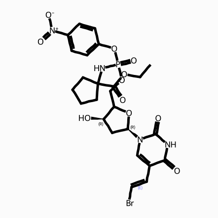 CCOC(=O)C1(NP(=O)(OCC2O[C@@H](n3cc(/C=C/Br)c(=O)[nH]c3=O)C[C@H]2O)Oc2ccc([N+](=O)[O-])cc2)CCCC1